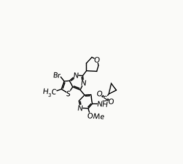 COc1ncc(-c2nc(C3CCOCC3)nc3c(Br)c(C)sc23)cc1NS(=O)(=O)C1CC1